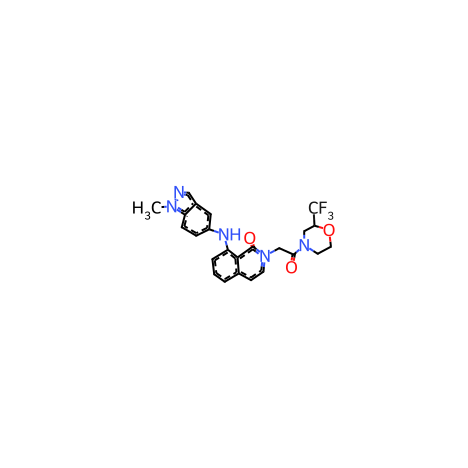 Cn1ncc2cc(Nc3cccc4ccn(CC(=O)N5CCOC(C(F)(F)F)C5)c(=O)c34)ccc21